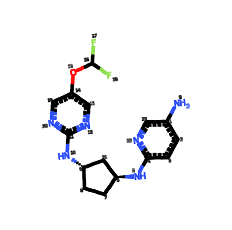 Nc1ccc(N[C@H]2CC[C@H](Nc3ncc(OC(F)F)cn3)C2)nc1